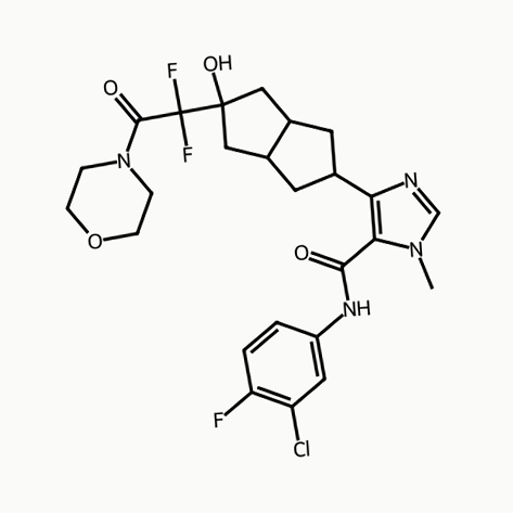 Cn1cnc(C2CC3CC(O)(C(F)(F)C(=O)N4CCOCC4)CC3C2)c1C(=O)Nc1ccc(F)c(Cl)c1